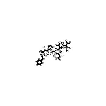 CC[C@H](C)[C@@H]([C@@H](CC(=O)N1CCC[C@H]1[C@H](OC)[C@@H](C)C(=O)NCCc1ccccc1)OC)N(C)C(=O)[C@@H](NC(=O)[C@@H](NC)C(C)C)C(C)C